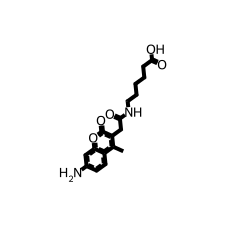 Cc1c(CC(=O)NCCCCCC(=O)O)c(=O)oc2cc(N)ccc12